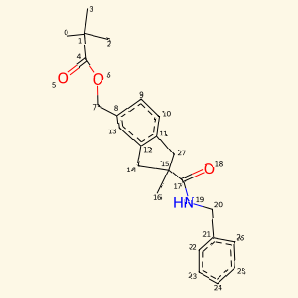 CC(C)(C)C(=O)OCc1ccc2c(c1)CC(C)(C(=O)NCc1ccccc1)C2